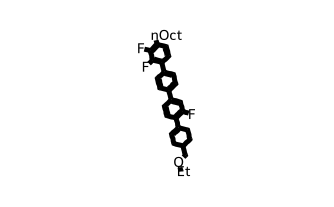 CCCCCCCCc1ccc(-c2ccc(-c3ccc(C4=CCC(COCC)CC4)c(F)c3)cc2)c(F)c1F